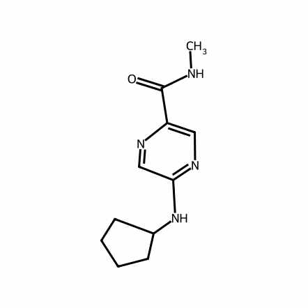 CNC(=O)c1cnc(NC2CCCC2)cn1